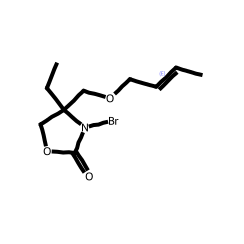 C/C=C/COCC1(CC)COC(=O)N1Br